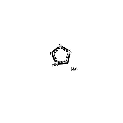 [Mn].c1nnn[nH]1